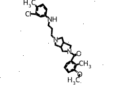 COc1cccc(C(=O)N2CC3CN(CCCNc4ccc(C)c(Cl)c4)CC3C2)c1C